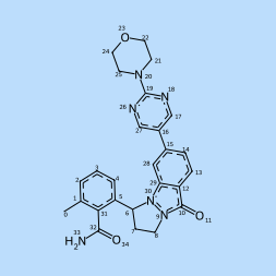 Cc1cccc(C2CCn3c(=O)c4ccc(-c5cnc(N6CCOCC6)nc5)cc4n32)c1C(N)=O